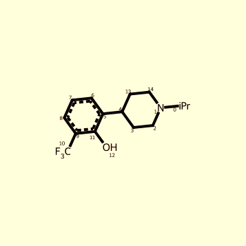 CC(C)N1CCC(c2cccc(C(F)(F)F)c2O)CC1